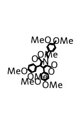 COC(=O)c1c(-c2ccc(OC)c(OC)c2)c2c3cc(OC)c(OC)cc3oc(=O)c2n1CCc1ccc(OC)c(OC)c1